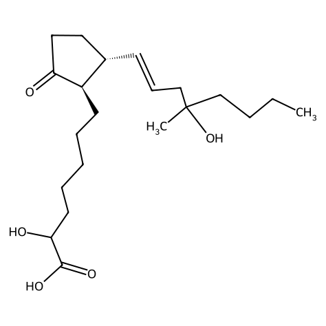 CCCCC(C)(O)CC=C[C@H]1CCC(=O)[C@@H]1CCCCCC(O)C(=O)O